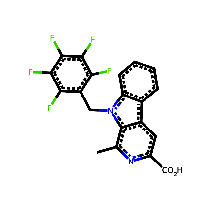 Cc1nc(C(=O)O)cc2c3ccccc3n(Cc3c(F)c(F)c(F)c(F)c3F)c12